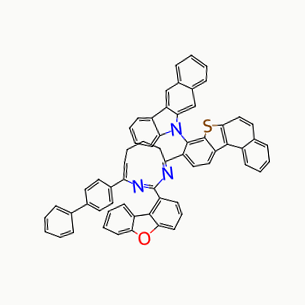 C1=C(c2ccc(-c3ccccc3)cc2)/N=C(c2cccc3oc4ccccc4c23)\N=C(\c2ccc3c(sc4ccc5ccccc5c43)c2-n2c3ccccc3c3cc4ccccc4cc32)CCC\1